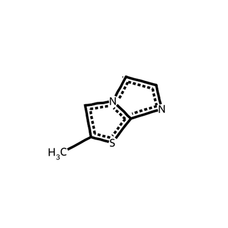 Cc1cn2[c]cnc2s1